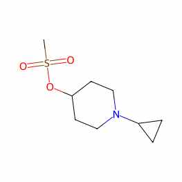 CS(=O)(=O)OC1CCN(C2CC2)CC1